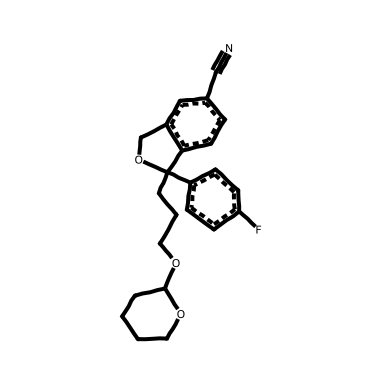 N#Cc1ccc2c(c1)COC2(CCCOC1CCCCO1)c1ccc(F)cc1